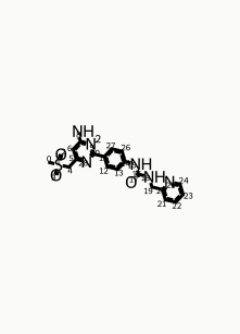 CS(=O)(=O)Cc1cc(N)nc(-c2ccc(NC(=O)NCc3ccccn3)cc2)n1